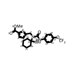 COC(=O)c1ccc(CN(C(=O)Nc2ccc(OC(F)(F)F)cc2)C2(C(C)(C)C)CCCCC2)s1